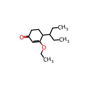 CCOC1=CC(=O)CCC1C(CC)CC